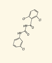 O=C(NC(=O)c1c(Cl)cccc1Cl)Nc1cccc(Cl)c1